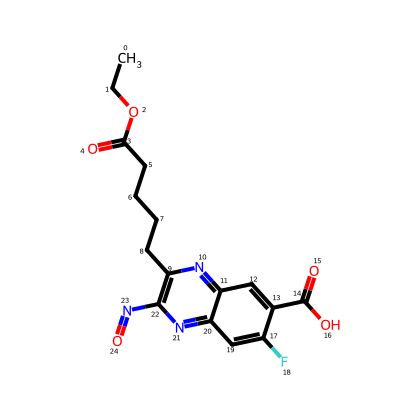 CCOC(=O)CCCCc1nc2cc(C(=O)O)c(F)cc2nc1N=O